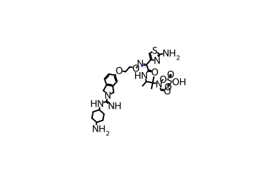 CC(NC(=O)/C(=N\OCCOc1ccc2c(c1)CN(C(=N)NC1CCC(N)CC1)C2)c1csc(N)n1)C(C)(C)N(C=O)OS(=O)(=O)O